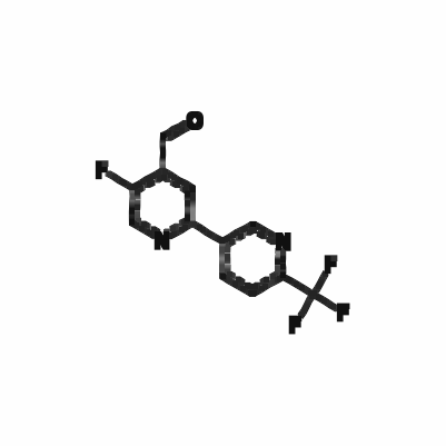 O=Cc1cc(-c2ccc(C(F)(F)F)nc2)ncc1F